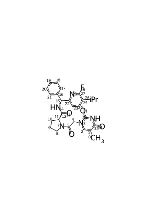 Cc1cn(CC(=O)N2CCC[C@H]2C(=O)N[C@@H](c2ccccc2)c2ccc(C(C)C)c(F)n2)c(=O)[nH]c1=O